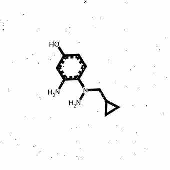 Nc1cc(O)ccc1N(N)CC1CC1